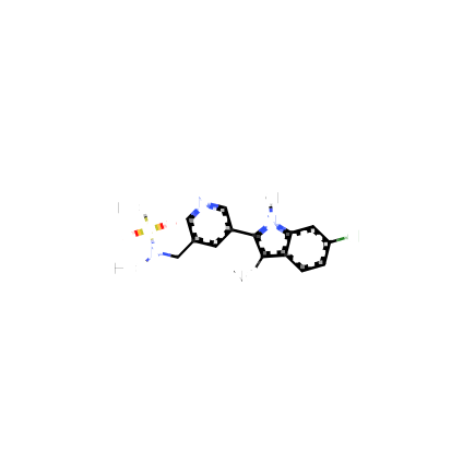 CN(Cc1cncc(-c2c(C#N)c3ccc(Cl)cc3n2C)c1)S(C)(=O)=O